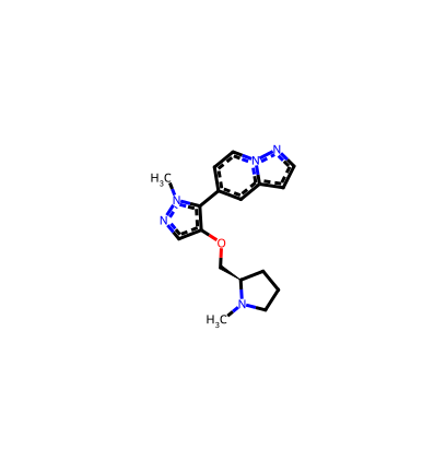 CN1CCC[C@@H]1COc1cnn(C)c1-c1ccn2nccc2c1